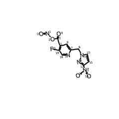 O=NOC(=O)c1cc(Cn2ccc([N+](=O)[O-])n2)ncc1F